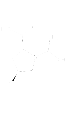 CC(C)C1C[C@H](N)CN1C(C)C